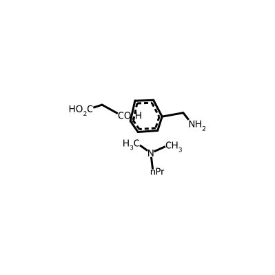 CCCN(C)C.NCc1ccccc1.O=C(O)CC(=O)O